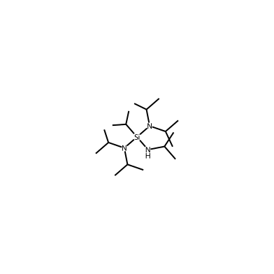 CC(C)N[Si](C(C)C)(N(C(C)C)C(C)C)N(C(C)C)C(C)C